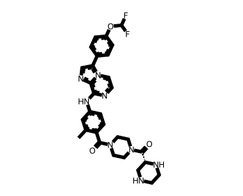 Cc1cc(Nc2nccn3c(-c4ccc(OC(F)F)cc4)cnc23)ccc1C(=O)N1CCN(C(=O)[C@H]2CNCCN2)CC1